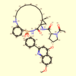 COc1ccc2c(O[C@@H]3C[C@@H](C(=O)N[C@]45C[C@H]4CCCCCCCCNc4ccccc4S(=O)(=O)NC5=O)N(C(C)=O)C3)cc(-c3ccccc3)nc2c1